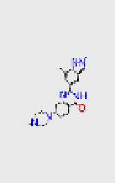 Cc1cc(-c2nc3cc(N4CCN(C)CC4)ccc3c(=O)[nH]2)cc2cn(C)nc12